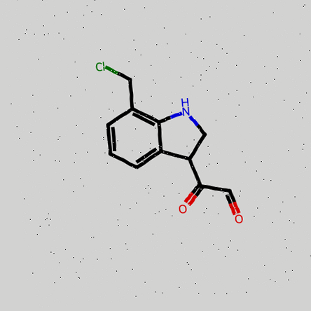 O=CC(=O)C1CNc2c(CCl)cccc21